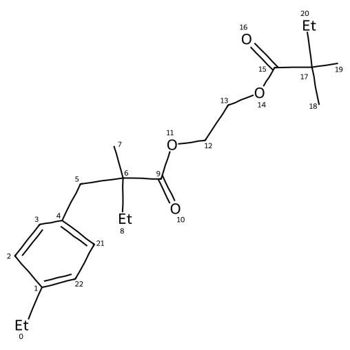 CCc1ccc(CC(C)(CC)C(=O)OCCOC(=O)C(C)(C)CC)cc1